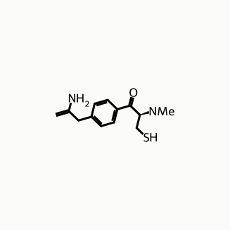 C=C(N)Cc1ccc(C(=O)[C@H](CS)NC)cc1